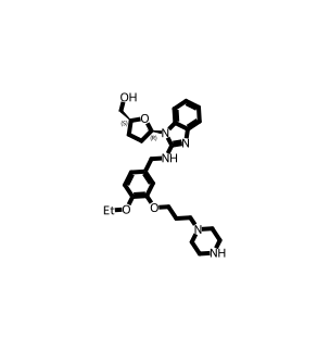 CCOc1ccc(CNc2nc3ccccc3n2[C@H]2CC[C@@H](CO)O2)cc1OCCCN1CCNCC1